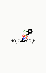 O=C(O)CC1C[C@@H](C(=O)O)N(S(=O)(=O)CCc2ccccc2Cl)C1